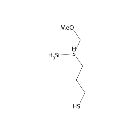 COC[SH]([SiH3])CCCS